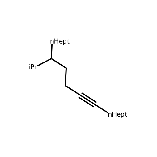 [CH2]CCCCCCC#CCCC(CCCCCC[CH2])C(C)C